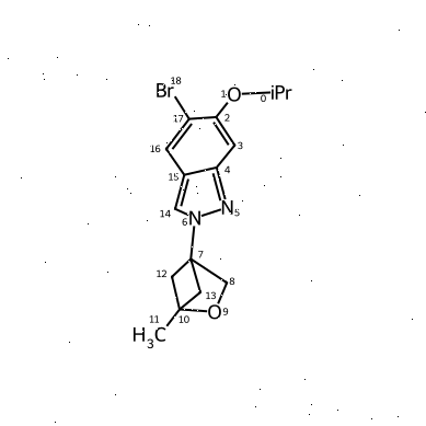 CC(C)Oc1cc2nn(C34COC(C)(C3)C4)cc2cc1Br